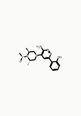 C[C@H]1CN(c2cc(-c3ccccc3O)nnc2N)C[C@H](C)N1[S+](C)[O-]